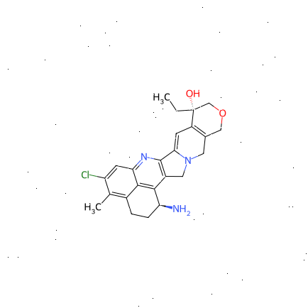 CC[C@@]1(O)COCC2=C1C=C1c3nc4cc(Cl)c(C)c5c4c(c3CN1C2)[C@@H](N)CC5